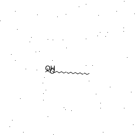 CCCCCCCCCCCCCCCCOCC(C)O